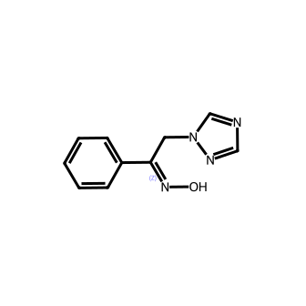 O/N=C(\Cn1cncn1)c1ccccc1